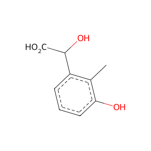 Cc1c(O)cccc1C(O)C(=O)O